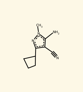 Cn1nc(C2CCC2)c(C#N)c1N